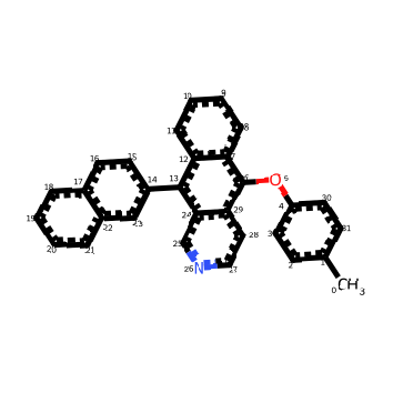 Cc1ccc(Oc2c3ccccc3c(-c3ccc4ccccc4c3)c3cnccc23)cc1